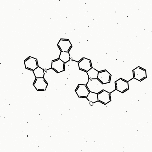 c1ccc(-c2ccc(-c3ccc4oc5cccc(-n6c7ccccc7c7ccc(-n8c9ccccc9c9cc(-n%10c%11ccccc%11c%11ccccc%11%10)ccc98)cc76)c5c4c3)cc2)cc1